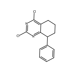 Clc1nc(Cl)c2c(n1)C(c1ccccc1)CCC2